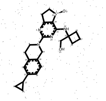 [O-][S@+]1CCc2nc(N3CCc4cc(C5CC5)ccc4C3)nc(NC3(CO)CCC3)c21